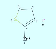 [I-].[Zn+][c]1cccs1